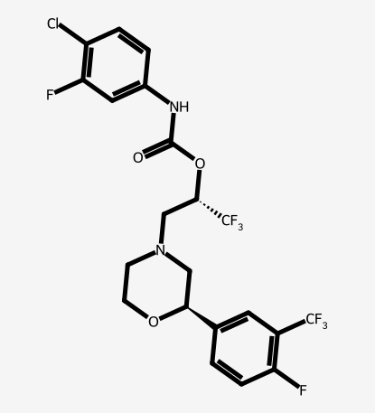 O=C(Nc1ccc(Cl)c(F)c1)O[C@@H](CN1CCO[C@H](c2ccc(F)c(C(F)(F)F)c2)C1)C(F)(F)F